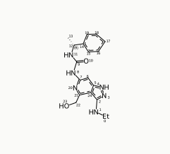 CCNc1n[nH]c2cc(NC(=O)N[C@H](C)c3ccccc3)nc(CO)c12